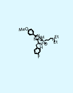 CCN(CC)CCCS(=O)(=O)N[C@@H](Cc1ccc(F)cc1)c1nc(-c2ccc(OC)cc2)n[nH]1